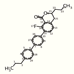 CCCc1ccc(-c2ccc(-c3ccc4c(c3F)C(=O)OC(CCC)C4)cc2)cc1